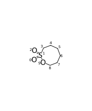 O=S1(=O)CCCCCCO1